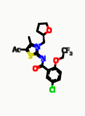 CC(=O)c1sc(=NC(=O)c2cc(Cl)ccc2OCC(F)(F)F)n(C[C@H]2CCCO2)c1C